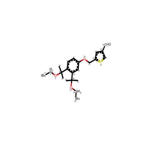 CC(C)(C)[SiH2]OC(C)(C)c1ccc(OCc2cc(C=O)cs2)cc1C(C)(C)O[SiH2]C(C)(C)C